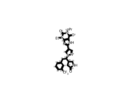 CCCn1c(=O)c2[nH]c(-c3cnn(C(Cc4cccc(C(F)(F)F)c4)C4CNC(=O)C4)c3)nc2n(CC)c1=O